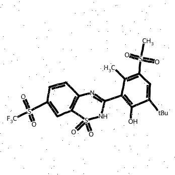 Cc1c(S(C)(=O)=O)cc(C(C)(C)C)c(O)c1C1=Nc2ccc(S(=O)(=O)C(F)(F)F)cc2S(=O)(=O)N1